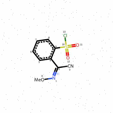 CO/N=C(/C#N)c1ccccc1S(=O)(=O)Cl